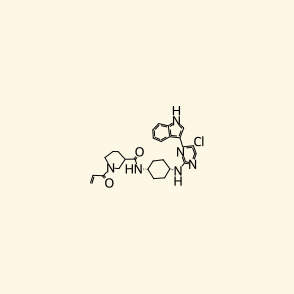 C=CC(=O)N1CCCC(C(=O)N[C@H]2CC[C@@H](Nc3ncc(Cl)c(-c4c[nH]c5ccccc45)n3)CC2)C1